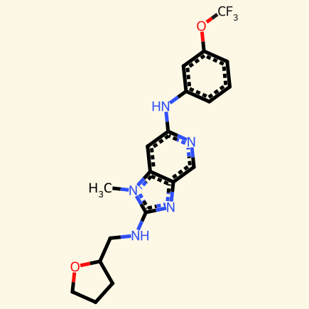 Cn1c(NCC2CCCO2)nc2cnc(Nc3cccc(OC(F)(F)F)c3)cc21